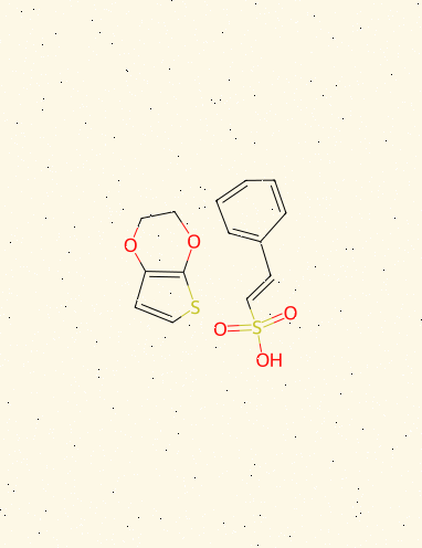 O=S(=O)(O)C=Cc1ccccc1.c1cc2c(s1)OCCO2